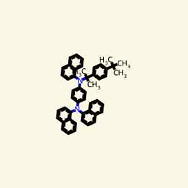 CC(C)(C)c1ccc(C(C)(C)N(c2ccc(N(c3cccc4ccccc34)c3cccc4ccccc34)cc2)c2cccc3ccccc23)cc1